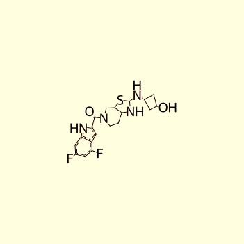 O=C(c1cc2c(F)cc(F)cc2[nH]1)N1CCC2NC(N[C@H]3C[C@H](O)C3)SC2C1